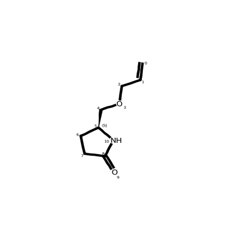 C=CCOC[C@@H]1CCC(=O)N1